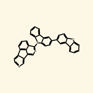 c1ccc2c(c1)oc1ccc(-c3ccc4c(c3)c3ccccc3n4-c3ncc4c5c(cccc35)-c3ccncc3-4)cc12